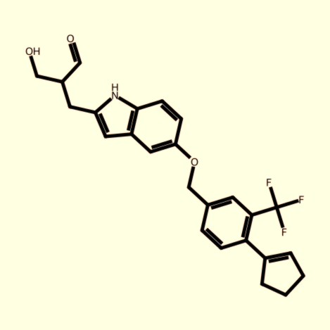 O=CC(CO)Cc1cc2cc(OCc3ccc(C4=CCCC4)c(C(F)(F)F)c3)ccc2[nH]1